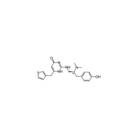 CN(C)[C@H](CNc1nc(=O)cc(Cc2ccsc2)[nH]1)Cc1ccc(O)cc1